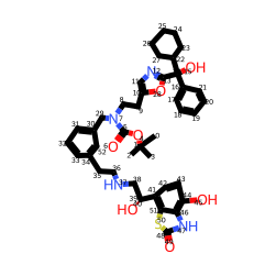 CC(C)(C)OC(=O)N(CCc1cnc(C(O)(c2ccccc2)C2CCCCC2)o1)Cc1cccc(CCNC[C@@H](O)c2ccc(O)c3[nH]c(=O)sc23)c1